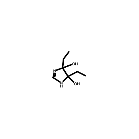 CCC1(O)N=CNC1(O)CC